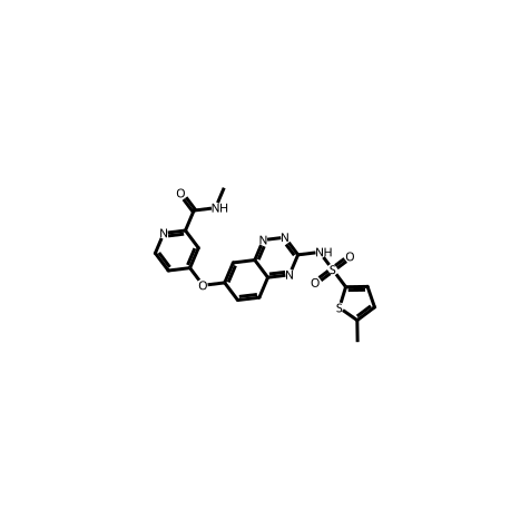 CNC(=O)c1cc(Oc2ccc3nc(NS(=O)(=O)c4ccc(C)s4)nnc3c2)ccn1